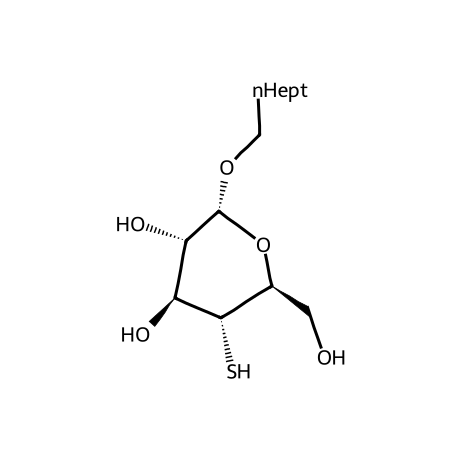 CCCCCCCCO[C@@H]1O[C@@H](CO)[C@H](S)[C@@H](O)[C@@H]1O